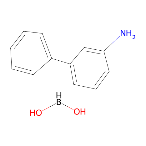 Nc1cccc(-c2ccccc2)c1.OBO